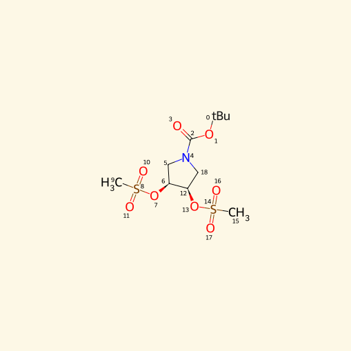 CC(C)(C)OC(=O)N1C[C@H](OS(C)(=O)=O)[C@H](OS(C)(=O)=O)C1